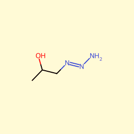 CC(O)CN=NN